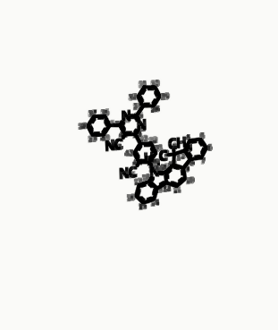 CC1(C)c2ccccc2-c2ccc3c4ccccc4n(-c4ccc(-c5nc(-c6ccccc6)nc(-c6ccccc6)c5C#N)cc4C#N)c3c21